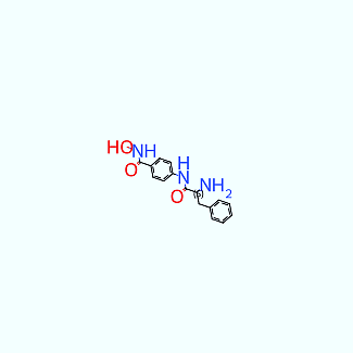 N[C@@H](Cc1ccccc1)C(=O)Nc1ccc(C(=O)NO)cc1